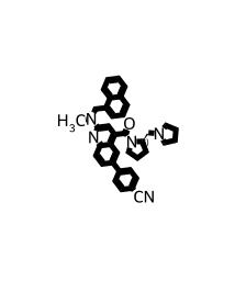 CN(Cc1cccc2ccccc12)c1cc(C(=O)N2CCC[C@H]2CN2CCCC2)c2cc(-c3ccc(C#N)cc3)ccc2n1